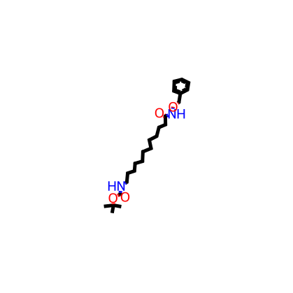 CC(C)(C)OC(=O)NCCCCCCCCCCCC(=O)NOCc1ccccc1